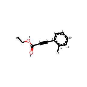 CCOC(=O)C#Cc1ccccc1C